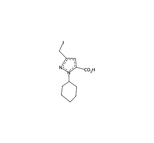 O=C(O)c1cc(CI)nn1C1CCCCC1